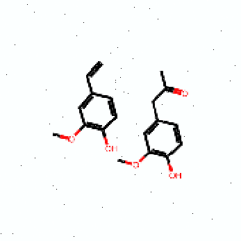 C=Cc1ccc(O)c(OC)c1.COc1cc(CC(C)=O)ccc1O